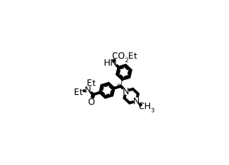 CCOC(=O)Nc1cccc([C@@H](c2ccc(C(=O)N(CC)CC)cc2)N2CCN(C)CC2)c1